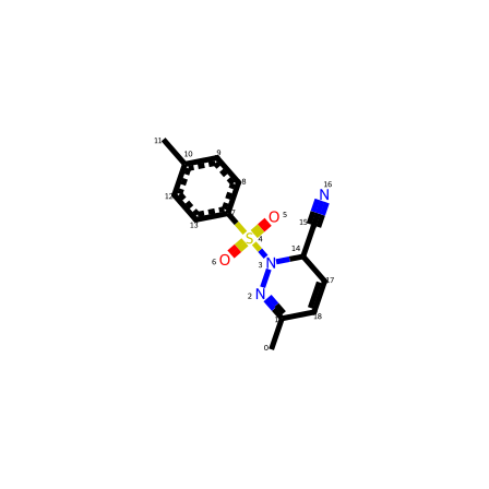 CC1=NN(S(=O)(=O)c2ccc(C)cc2)C(C#N)C=C1